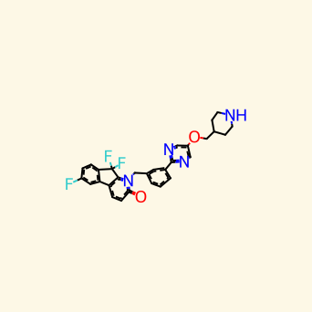 O=c1ccc2c(n1Cc1cccc(-c3ncc(OCC4CCNCC4)cn3)c1)C(F)(F)c1ccc(F)cc1-2